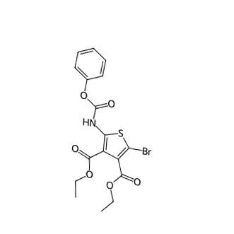 CCOC(=O)c1c(Br)sc(NC(=O)Oc2ccccc2)c1C(=O)OCC